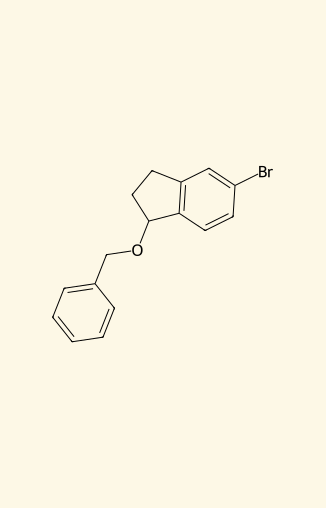 Brc1ccc2c(c1)CCC2OCc1ccccc1